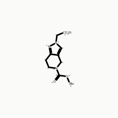 CCOC(=O)Cn1cc2c(n1)CCN(C(=O)OC(C)(C)C)C2